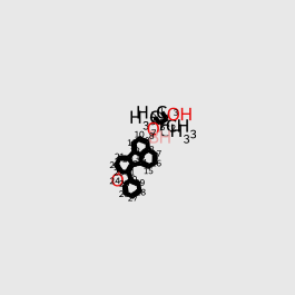 CC(C)(O)C(C)(C)OBc1ccc2c3c(cccc13)-c1c-2ccc2oc3ccccc3c12